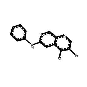 Clc1c(Br)cnc2cnc(Nc3ccccc3)cc12